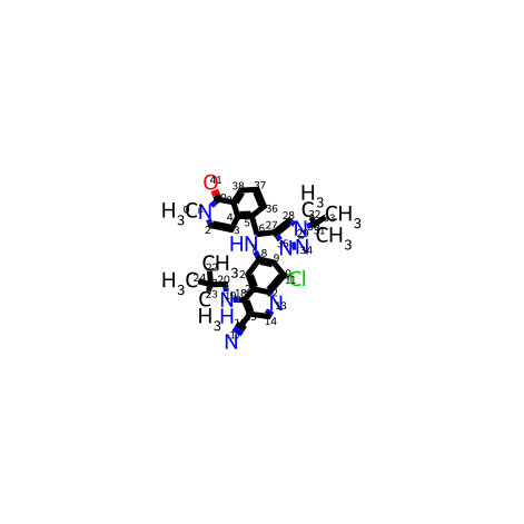 Cn1ccc2c(C(Nc3cc(Cl)c4ncc(C#N)c(NCC(C)(C)C)c4c3)c3cn(C(C)(C)C)nn3)cccc2c1=O